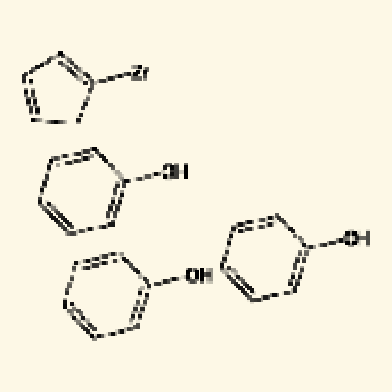 Oc1ccccc1.Oc1ccccc1.Oc1ccccc1.[Zr][C]1=CC=CC1